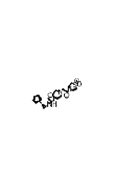 O=C(CN1CCC2(CC1)CC(N[C@@H]1C[C@H]1c1ccccc1)CO2)N1CCS(=O)(=O)CC1